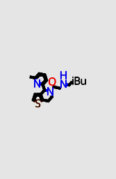 CCC(C)CNCC(=O)N1CCc2sccc2C1c1cccc(C)n1